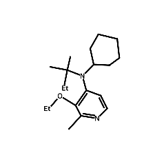 CCOc1c(N(C2CCCCC2)C(C)(C)CC)ccnc1C